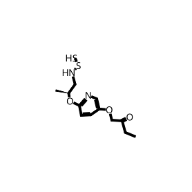 CCC(=O)COc1ccc(O[C@@H](C)CNSS)nc1